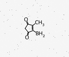 BC1=C(C)C(=O)CC1=O